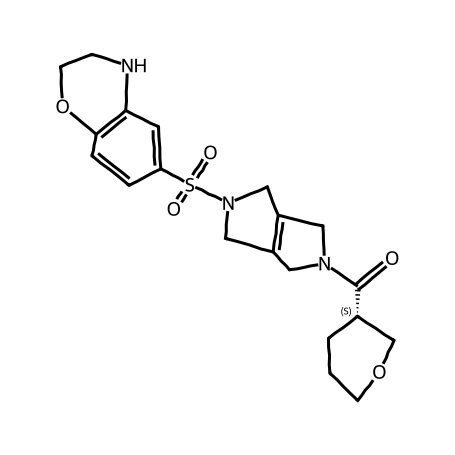 O=C([C@H]1CCCOC1)N1CC2=C(C1)CN(S(=O)(=O)c1ccc3c(c1)NCCO3)C2